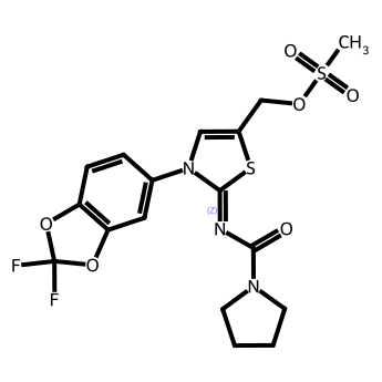 CS(=O)(=O)OCc1cn(-c2ccc3c(c2)OC(F)(F)O3)/c(=N/C(=O)N2CCCC2)s1